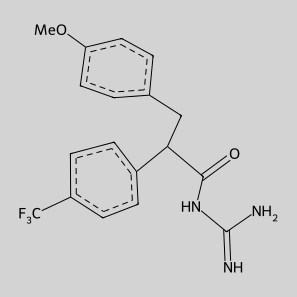 COc1ccc(CC(C(=O)NC(=N)N)c2ccc(C(F)(F)F)cc2)cc1